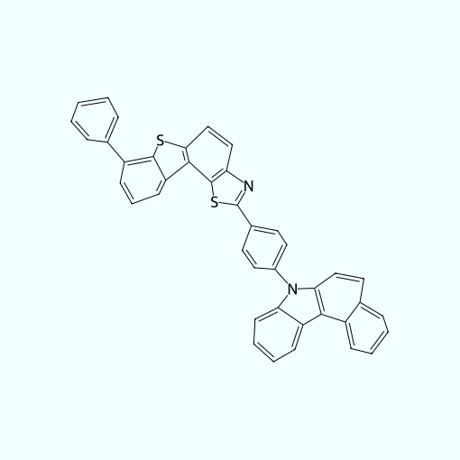 c1ccc(-c2cccc3c2sc2ccc4nc(-c5ccc(-n6c7ccccc7c7c8ccccc8ccc76)cc5)sc4c23)cc1